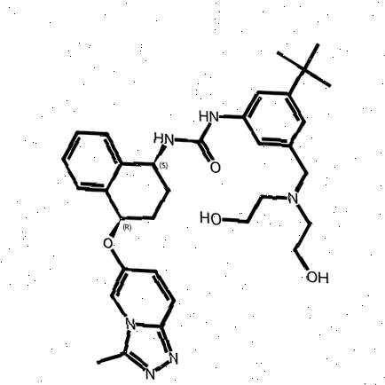 Cc1nnc2ccc(O[C@@H]3CC[C@H](NC(=O)Nc4cc(CN(CCO)CCO)cc(C(C)(C)C)c4)c4ccccc43)cn12